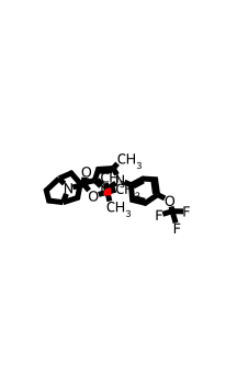 Cc1cc(C2CC3CCC(C2)N3C(=O)OC(C)(C)C)nn1-c1ccc(OC(F)(F)F)cc1